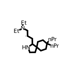 CCCC1(CCC)CCC2(CCNC2C[CH]CN(CC)CC)CC1